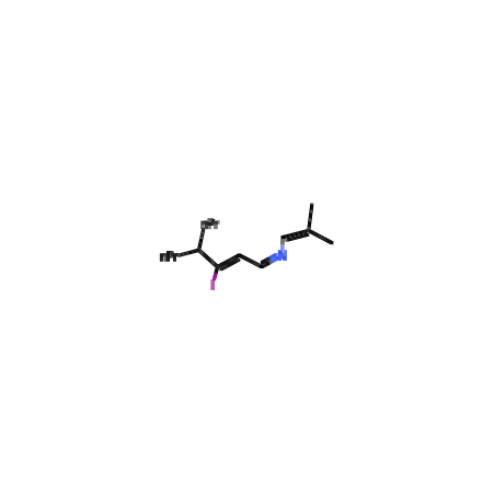 CCCC(CCC)/C(I)=C/C=N\C=C(C)C